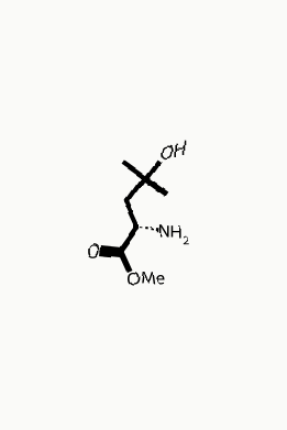 COC(=O)[C@@H](N)CC(C)(C)O